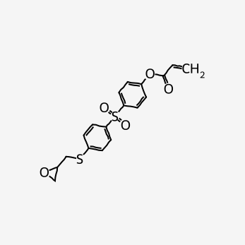 C=CC(=O)Oc1ccc(S(=O)(=O)c2ccc(SCC3CO3)cc2)cc1